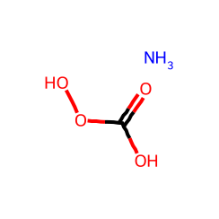 N.O=C(O)OO